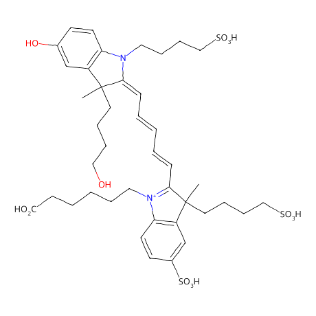 CC1(CCCCS(=O)(=O)O)C(/C=C/C=C/C=C2/N(CCCCS(=O)(=O)O)c3ccc(O)cc3C2(C)CCCCO)=[N+](CCCCCC(=O)O)c2ccc(S(=O)(=O)O)cc21